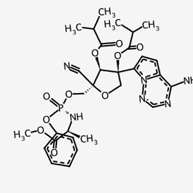 COC(=O)[C@H](C)N[P@](=O)(OC[C@@]1(C#N)OC[C@@](OC(=O)C(C)C)(c2ccc3c(N)ncnn23)[C@@H]1OC(=O)C(C)C)Oc1ccccc1